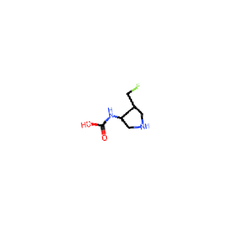 O=C(O)NC1CNCC1CF